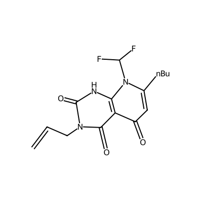 C=CCn1c(=O)[nH]c2c(c(=O)cc(CCCC)n2C(F)F)c1=O